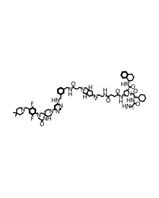 CN[C@@H](C)C(=O)N[C@H](C(=O)N1C[C@@H](NC(=O)CCC(=O)NCCN(C)[C@@H]2C[C@@H]3CN(CCC(=O)NCc4cccc(CNc5cc(N6CCC7(CC6)CN(c6cc(F)c(CN8CCC(C)(C)CC8)cc6F)CC(=O)N7)ncn5)c4)C[C@@H]3C2)C[C@H]1C(=O)N[C@H]1CCCc2ccccc21)C1CCCCC1